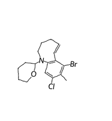 Cc1c(Cl)cc2c(c1Br)/C=C/CCCN2C1CCCCO1